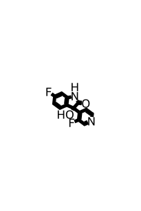 O=C1Nc2cc(F)ccc2C1(O)c1ccncc1F